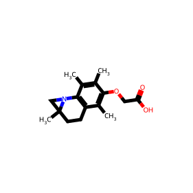 Cc1c(C)c2c(c(C)c1OCC(=O)O)CCC1(C)CN21